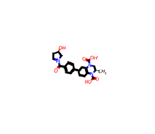 C[C@H]1CN(C(=O)O)c2cc(-c3ccc(C(=O)N4CC[C@@H](O)C4)cc3)ccc2N1C(=O)O